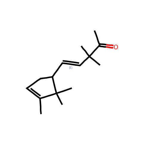 CC(=O)C(C)(C)/C=C/C1CC=C(C)C1(C)C